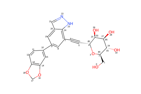 OC[C@H]1O[C@H](C#Cc2cc(-c3ccc4c(c3)OCO4)cc3cn[nH]c23)[C@@H](O)[C@@H](O)[C@@H]1O